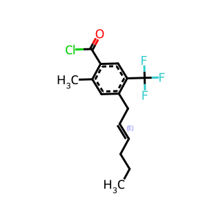 CCC/C=C/Cc1cc(C)c(C(=O)Cl)cc1C(F)(F)F